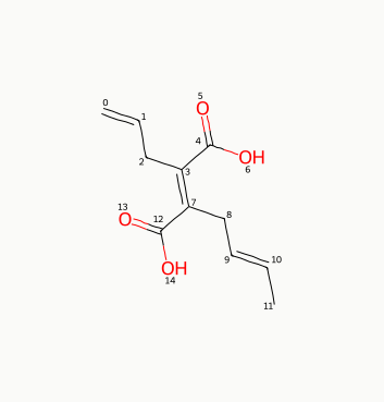 C=CCC(C(=O)O)=C(CC=CC)C(=O)O